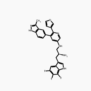 Cc1n[nH]c2ccc(-c3cc(NC[C@@H](N)Cc4c[nH]c5c(F)c(F)c(F)cc45)cnc3-c3ccoc3)cc12